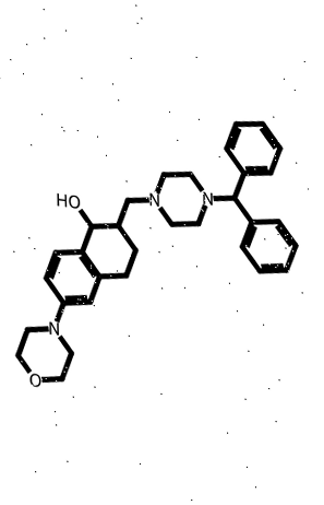 OC1c2ccc(N3CCOCC3)cc2CCC1CN1CCN(C(c2ccccc2)c2ccccc2)CC1